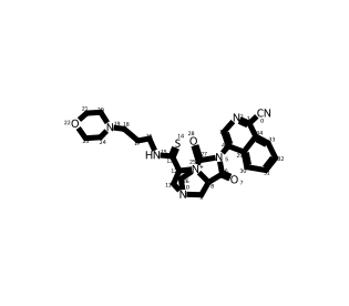 N#Cc1ncc(N2C(=O)C3CN4CC(C(=S)NCCCN5CCOCC5)[N+]3(C4)C2=O)c2ccccc12